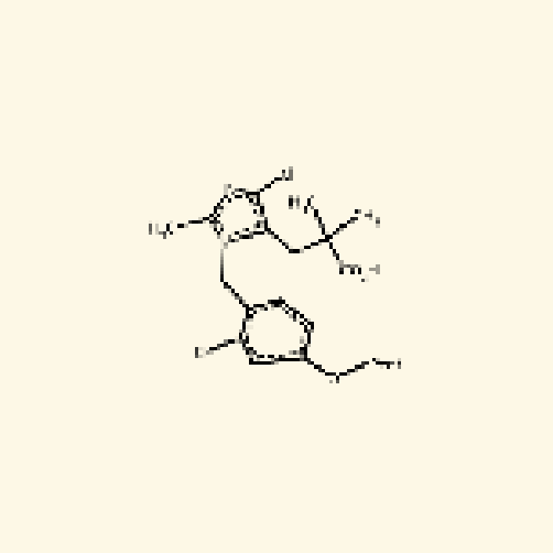 CCCCCOc1ccc(Cn2c(C)nc(Cl)c2CC(C)(C)C(=O)O)c(Cl)c1